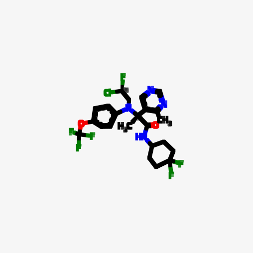 Cc1ncncc1[C@](C)(C(=O)NC1CCC(F)(F)CC1)N(C[C@H](F)Cl)c1ccc(OC(F)(F)F)cc1